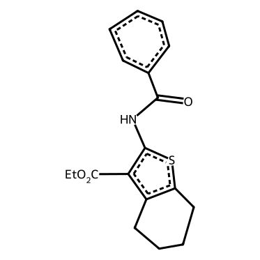 CCOC(=O)c1c(NC(=O)c2ccccc2)sc2c1CCCC2